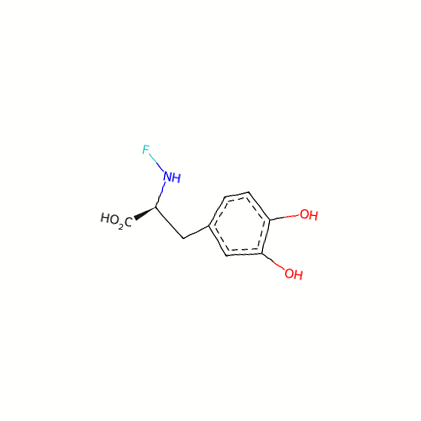 O=C(O)[C@H](Cc1ccc(O)c(O)c1)NF